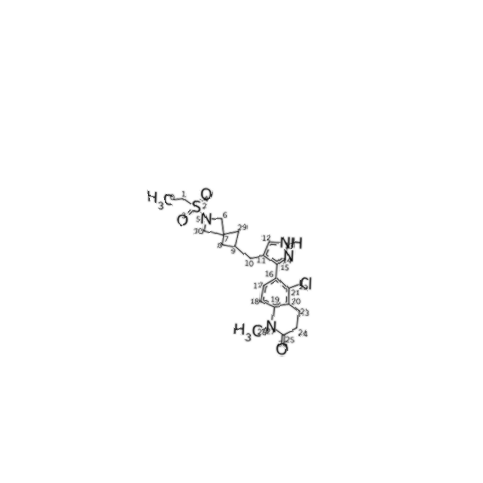 CCS(=O)(=O)N1CC2(CC(Cc3c[nH]nc3-c3ccc4c(c3Cl)CCC(=O)N4C)C2)C1